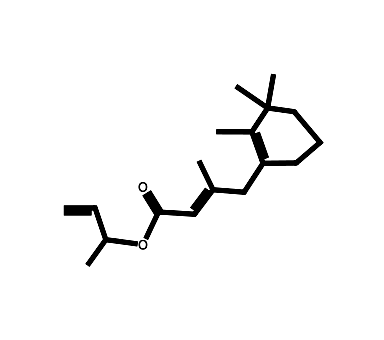 C=CC(C)OC(=O)/C=C(\C)CC1=C(C)C(C)(C)CCC1